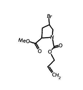 C=CCOC(=O)N1CC(Br)CC1C(=O)OC